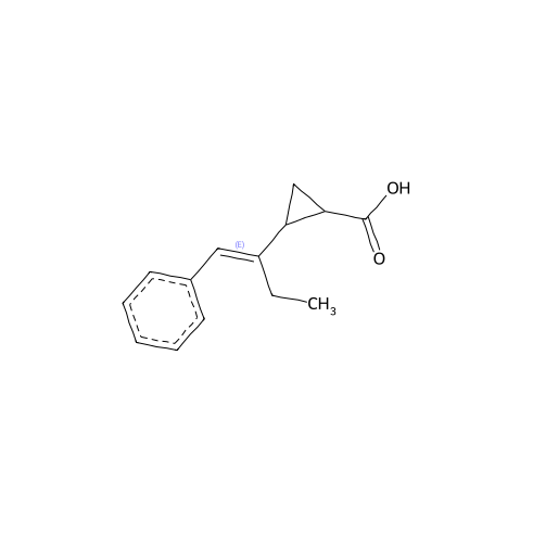 CC/C(=C\c1ccccc1)C1CC1C(=O)O